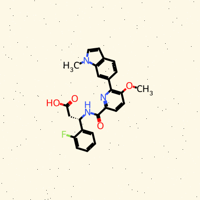 COc1ccc(C(=O)N[C@@H](CC(=O)O)c2ccccc2F)nc1-c1ccc2ccn(C)c2c1